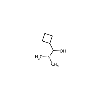 CN(C)C(O)C1CCC1